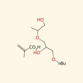 C=C(C)C(=O)O.CCCCOCC(O)COC(C)CO